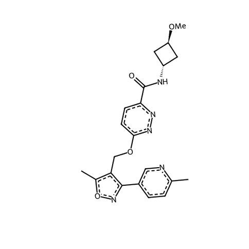 CO[C@H]1C[C@H](NC(=O)c2ccc(OCc3c(-c4ccc(C)nc4)noc3C)nn2)C1